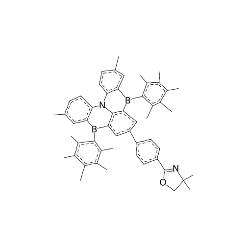 Cc1ccc2c(c1)B(c1c(C)c(C)c(C)c(C)c1C)c1cc(-c3ccc(C4=NC(C)(C)CO4)cc3)cc3c1N2c1ccc(C)cc1B3c1c(C)c(C)c(C)c(C)c1C